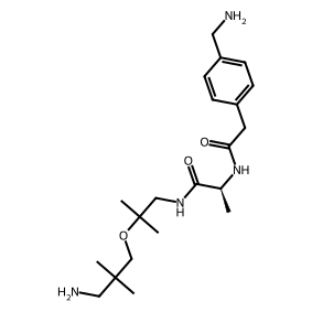 C[C@H](NC(=O)Cc1ccc(CN)cc1)C(=O)NCC(C)(C)OCC(C)(C)CN